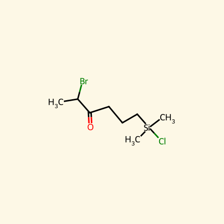 CC(Br)C(=O)CCC[Si](C)(C)Cl